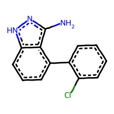 Nc1n[nH]c2cccc(-c3ccccc3Cl)c12